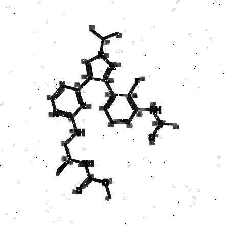 COC(=O)N[C@@H](C)CNc1nccc(-c2cn(C(C)C)nc2-c2cccc(N[S+](C)[O-])c2F)n1